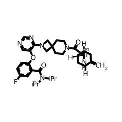 C=C1C[C@H]2CC[C@@H]1N[C@@H]2C(=O)N1CCC2(CC1)CN(c1ncncc1Oc1ccc(F)cc1C(=O)N(C(C)C)C(C)C)C2